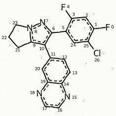 Fc1cc(F)c(-c2nn3c(c2-c2ccc4nccnc4c2)CCC3)cc1Cl